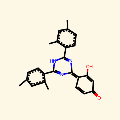 Cc1ccc(C2=NC(=C3C=CC(=O)C=C3O)N=C(c3ccc(C)cc3C)N2)c(C)c1